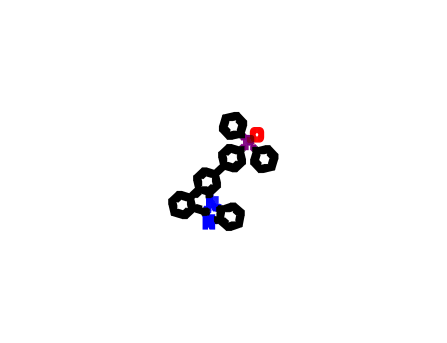 O=P(c1ccccc1)(c1ccccc1)c1ccc(-c2ccc3c4ccccc4c4nc5ccccc5n4c3c2)cc1